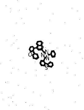 c1ccc(-c2nc(-c3cc(-c4cccc5oc6ccccc6c45)c4ccccc4c3)nc(-c3cccc4sc5ccccc5c34)n2)cc1